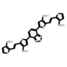 CCCCCCCCc1ccsc1/C=C/c1sc(-c2ccc(-c3cc(CCCCCCCC)c(/C=C/c4sccc4CCCCCCCC)s3)c3nsnc23)cc1CCCCCCCC